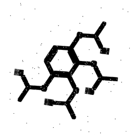 CC(S)Oc1ccc(OC(C)S)c(OC(C)S)c1OC(C)S